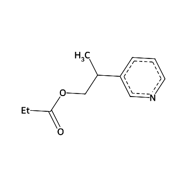 CCC(=O)OCC(C)c1cccnc1